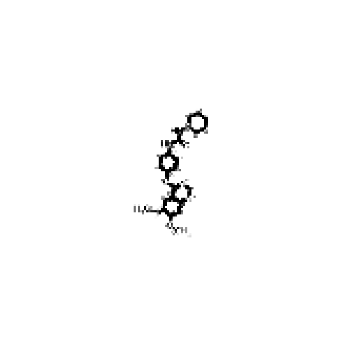 COc1cc2ncnc(Oc3ccc(NC(=O)NN4CCCCC4)cc3)c2cc1OC